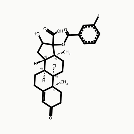 C[C@]12CC[C@]3(Cl)[C@@H](CCC4=CC(=O)CC[C@@]43C)[C@@H]1CC(O)C2(OC(=O)c1cccc(I)c1)C(=O)O